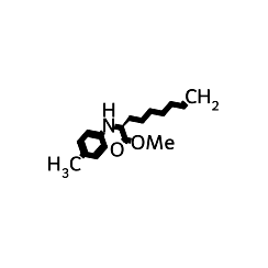 C=CCCCCC[C@H](Nc1ccc(C)cc1)C(=O)OC